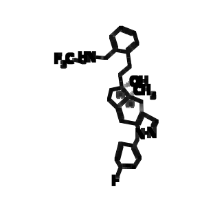 C[C@]12Cc3cnn(-c4ccc(F)cc4)c3C=C1CC[C@@]2(O)CCc1ccccc1CNCC(F)(F)F